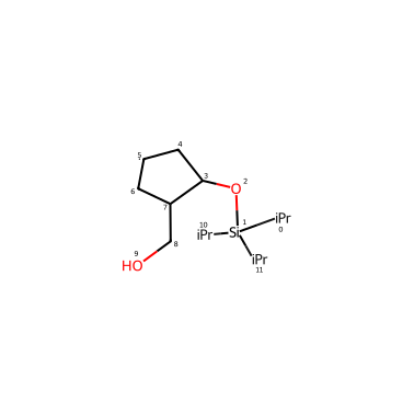 CC(C)[Si](OC1C[CH]CC1CO)(C(C)C)C(C)C